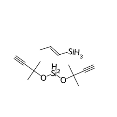 C#CC(C)(C)O[SiH2]OC(C)(C)C#C.CC=C[SiH3]